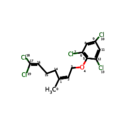 CC(=CCOc1c(Cl)cc(Cl)cc1Cl)CCC=C(Cl)Cl